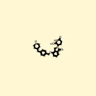 O=C1CCC(N2Cc3c(OCc4ccc(CC5CCNCC5)cc4)cccc3C2=O)C(O)N1